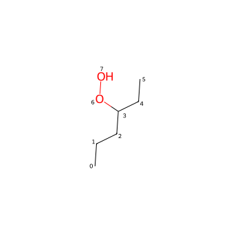 CCCC(CC)OO